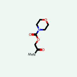 CNC(=O)COC(=O)N1CCOCC1